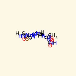 C[C@@H]1CNc2c(sc3ccc4nc(N5CCN(C[C@@H]6[C@H]7CN(c8ccc9c(c8)n(C)c(=O)n9C8CCC(=O)NC8=O)C[C@@H]67)CC5)ccc4c23)C(=O)N1